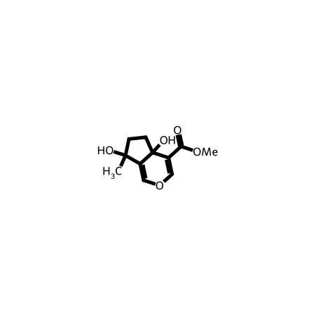 COC(=O)C1=COC=C2C(C)(O)CCC12O